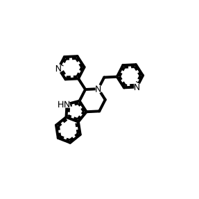 c1cncc(CN2CCc3c([nH]c4ccccc34)C2c2cccnc2)c1